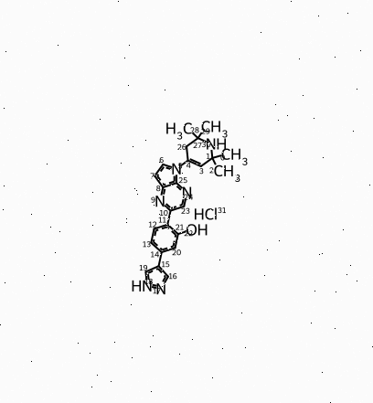 CC1(C)C=C(n2ccc3nc(-c4ccc(-c5cn[nH]c5)cc4O)cnc32)CC(C)(C)N1.Cl